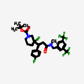 CN(Cc1cc(C(F)(F)F)cc(C(F)(F)F)c1)C(=O)CC(c1ccc(F)cc1)C1(F)CCCN(C(=O)OC(C)(C)C)C1